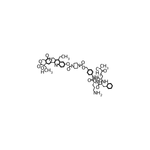 CCc1c2c(nc3ccc(OC(=O)N4CCN(C(=O)OCc5ccc(NC(=O)[C@H](CCCN)NC(=O)[C@H](Cc6ccccc6)NC(O)CCC(=O)C(C)C)cc5)CC4)cc13)-c1cc3c(c(=O)n1C2)COC(=O)[C@]3(O)CC